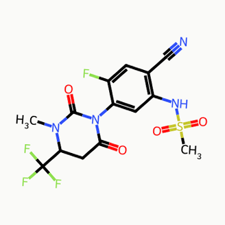 CN1C(=O)N(c2cc(NS(C)(=O)=O)c(C#N)cc2F)C(=O)CC1C(F)(F)F